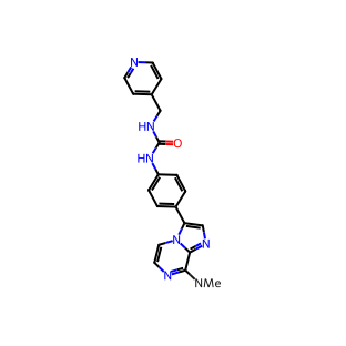 CNc1nccn2c(-c3ccc(NC(=O)NCc4ccncc4)cc3)cnc12